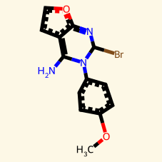 COc1ccc(N2C(N)=c3ccoc3=NC2Br)cc1